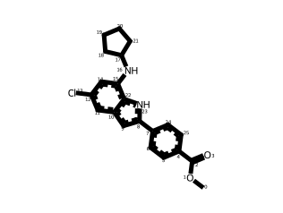 COC(=O)c1ccc(-c2cc3cc(Cl)cc(NC4CCCC4)c3[nH]2)cc1